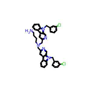 NCCCCN(Cc1cc2c3ccccc3n(Cc3cccc(Cl)c3)c2cn1)Cc1cc2c3ccccc3n(Cc3cccc(Cl)c3)c2cn1